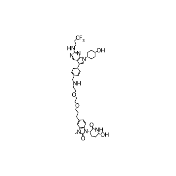 Cn1c(=O)n([C@H]2CCC(O)NC2=O)c2ccc(CCCOCCOCCNCc3ccc(-c4cn([C@H]5CC[C@H](O)CC5)c5nc(NCCC(F)(F)F)ncc45)cc3)cc21